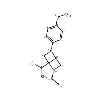 COc1ccc(P2CC3(C(C)C)C2CN3SI)cc1